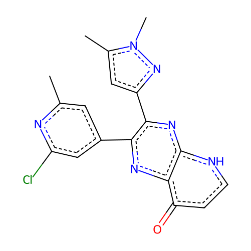 Cc1cc(-c2nc3c(=O)cc[nH]c3nc2-c2cc(C)n(C)n2)cc(Cl)n1